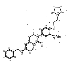 COc1cc(N2CCc3cc(OCc4ccccc4)ccc3C2=O)ccc1OCCN1CCCC1